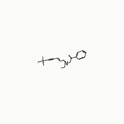 C=C(CN(CC)CC=CC#CC(C)(C)C)c1ccccc1